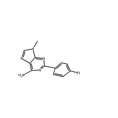 CCc1ccc(-c2nc(N)c3ncn(C)c3n2)cc1